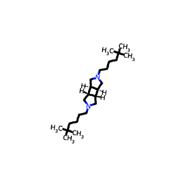 CC(C)(C)CCCCN1C[C@H]2[C@@H]3CN(CCCCC(C)(C)C)C[C@@H]3[C@H]2C1